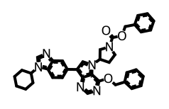 O=C(OCc1ccccc1)N1CCC(n2cc(-c3ccc4c(c3)ncn4C3CCCCC3)c3ncnc(OCc4ccccc4)c32)C1